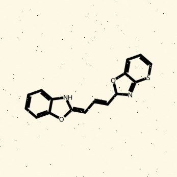 C1=CSC2=NC(C=CC=C3Nc4ccccc4O3)OC2=C1